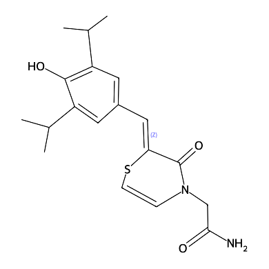 CC(C)c1cc(/C=C2\SC=CN(CC(N)=O)C2=O)cc(C(C)C)c1O